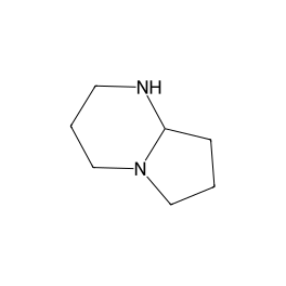 C1CNC2CCCN2C1